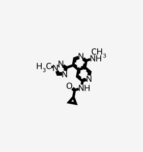 CNc1ncc(-c2ncn(C)n2)c2cc(NC(=O)C3CC3)ncc12